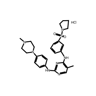 Cc1cnc(Nc2ccc(N3CCN(C)CC3)cc2)nc1Nc1cccc(S(=O)(=O)N2CCCC2)c1.Cl